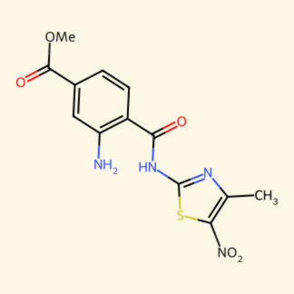 COC(=O)c1ccc(C(=O)Nc2nc(C)c([N+](=O)[O-])s2)c(N)c1